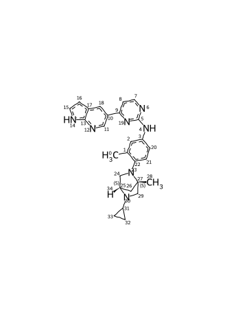 Cc1cc(Nc2nccc(-c3cnc4[nH]ccc4c3)n2)ccc1N1C[C@@H]2C[C@@]1(C)CN2C1CC1